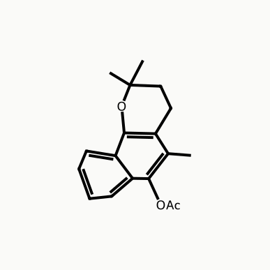 CC(=O)Oc1c(C)c2c(c3ccccc13)OC(C)(C)CC2